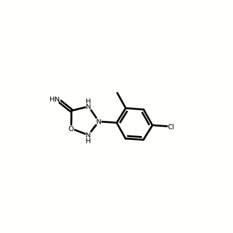 Cc1cc(Cl)ccc1N1NOC(=N)N1